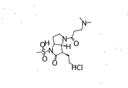 CCC[C@H]1C(=O)N(S(C)(=O)=O)[C@H]2CCN(C(=O)CCN(C)C)[C@H]12.Cl